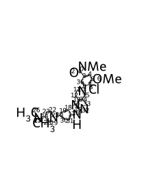 CNC(=O)c1cc(OC)c(Cl)c(N2CCc3nc(Nc4ccc(N5CCC(N(C)C)CC5)cc4)ncc3C2)c1